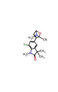 CN1C(=O)C(C)(C)c2cc(C3=CC4OC3(C#N)N4C)cc(F)c21